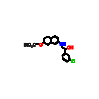 CCOC(=O)COC1CCc2ccc(NCC(O)c3cccc(Cl)c3)cc2C1